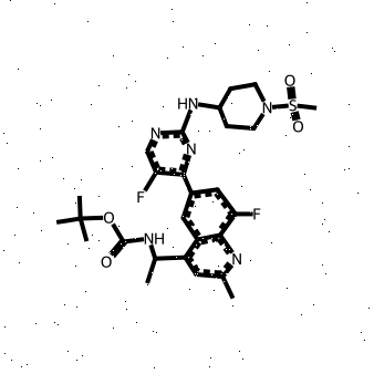 Cc1cc(C(C)NC(=O)OC(C)(C)C)c2cc(-c3nc(NC4CCN(S(C)(=O)=O)CC4)ncc3F)cc(F)c2n1